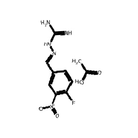 CC(=O)O.N=C(N)N/N=C/c1ccc(F)c([N+](=O)[O-])c1